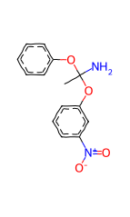 CC(N)(Oc1ccccc1)Oc1cccc([N+](=O)[O-])c1